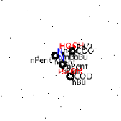 CCCCCc1ccc(N=C(CCCC)C(CCCC)=Nc2ccc(CCCCC)c(CCCCC)c2)cc1CCCCC.CCCCc1ccc(O)c(O)c1C(=O)[O-].CCCCc1ccc(O)c(O)c1C(=O)[O-].[Pd+2]